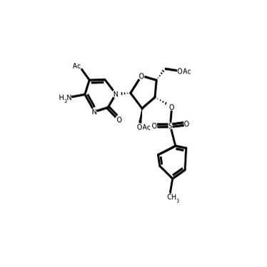 CC(=O)OC[C@H]1O[C@@H](n2cc(C(C)=O)c(N)nc2=O)[C@H](OC(C)=O)[C@H]1OS(=O)(=O)c1ccc(C)cc1